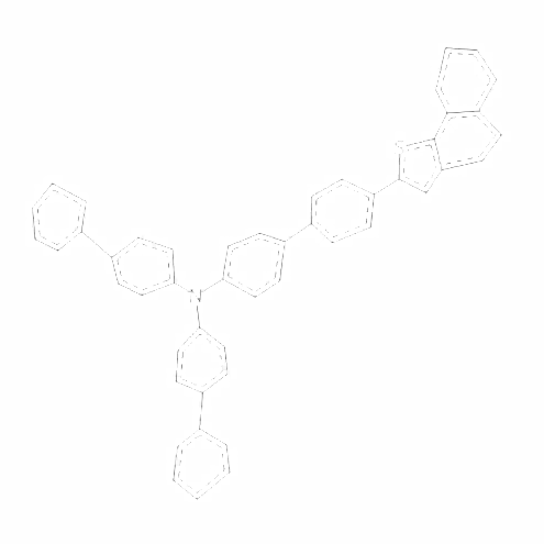 c1ccc(-c2ccc(N(c3ccc(-c4ccccc4)cc3)c3ccc(-c4ccc(-c5cc6ccc7ccccc7c6s5)cc4)cc3)cc2)cc1